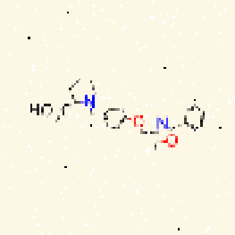 Cc1oc(-c2ccccc2)nc1COc1ccc(CN2CCCCC2C(=O)O)cc1